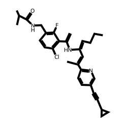 C=C(NC(=C/CCC)/C=C(\C)c1ccc(C#CC2CC2)cn1)c1c(Cl)ccc(CNC(=O)C(C)C)c1F